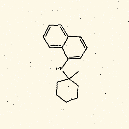 CC1(Pc2cccc3ccccc23)CCCCC1